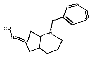 O/N=C1/CC2CCCN(Cc3ccccc3)C2C1